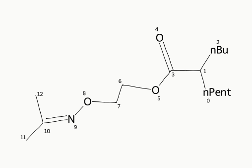 CCCCCC(CCCC)C(=O)OCCON=C(C)C